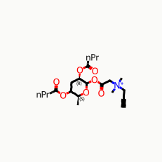 C#CC[N+](C)(C)CC(=O)OC1O[C@@H](C)C(OC(=O)CCC)C[C@H]1OC(=O)CCC